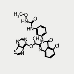 CONC(=O)Nc1cccc(-n2c(C(C)Oc3ncnc4scnc34)nc3cccc(Cl)c3c2=O)c1